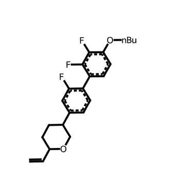 C=CC1CCC(c2ccc(-c3ccc(OCCCC)c(F)c3F)c(F)c2)CO1